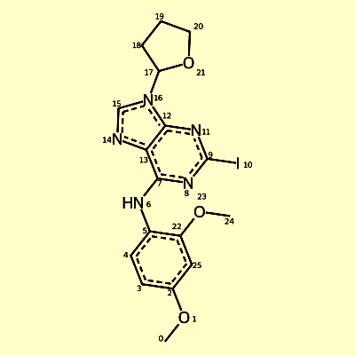 COc1ccc(Nc2nc(I)nc3c2ncn3C2CCCO2)c(OC)c1